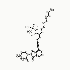 CC(C)(C)OC(=O)N(CCC#Cc1cccc2c1CN(C1CCC(=O)NC1=O)C2=O)CCOCCOCCO